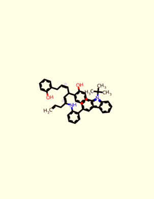 C=CC/C(=C/C(/C=C\Cc1ccccc1O)c1ccccc1O)Nc1ccccc1-c1ccc2c(c1)c1ccccc1n2C(C)(C)C